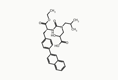 CCOC(=O)[C@H](Cc1ccc(-c2ccc3ccccc3c2)cc1)NC(=O)N(CC(C)C)CC(O)C(=O)O